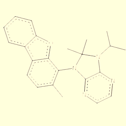 Cc1ccc2c(oc3ccccc32)c1N1c2nccnc2N(C(C)C)C1(C)C